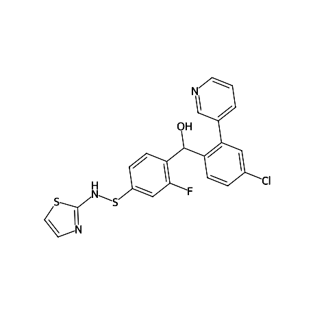 OC(c1ccc(SNc2nccs2)cc1F)c1ccc(Cl)cc1-c1cccnc1